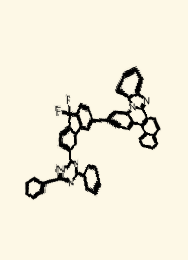 FC1(F)c2ccc(-c3ccc4c5c6ccccc6ccc5c5nc6ccccc6n5c4c3)cc2-c2cc(-c3nc(-c4ccccc4)nc(-c4ccccc4)n3)ccc21